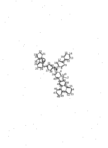 CC1(C)c2cc(N(c3ccc(-c4ccccc4)cc3)c3ccc(-c4cccc5c4OC4C=CC=CC54C)cc3)ccc2-c2cc3c4ccccc4c4ccccc4c3cc21